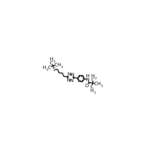 CC(C)(C)SCCCCc1nnc(-c2ccc(NC(=O)C(C)(C)C)cc2)nn1